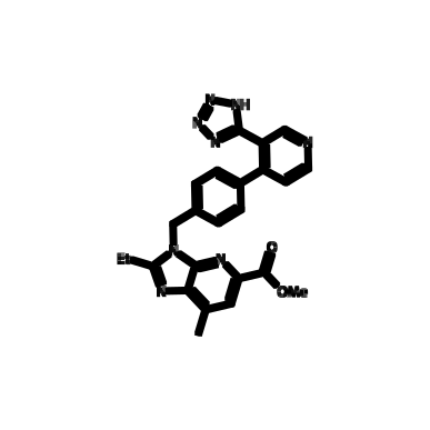 CCc1nc2c(C)cc(C(=O)OC)nc2n1Cc1ccc(-c2ccncc2-c2nnn[nH]2)cc1